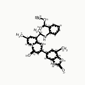 Cc1cc(C(C)Nc2ccccc2C(=O)OC(C)(C)C)c2nc(-c3cc(C)c4oc(=O)[nH]c4c3)cc(=O)n2c1